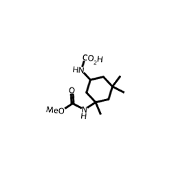 COC(=O)NC1(C)CC(NC(=O)O)CC(C)(C)C1